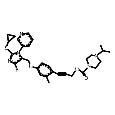 Cc1cc(OCc2c(Br)nc(SC3CC3)n2-c2cccnc2)ccc1C#CCOC(=O)N1CCN(C(C)C)CC1